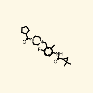 Cc1c(NC(=O)C2CC2(C)C)ccc(F)c1CN1CCN(C(=O)C2CCCC2)CC1